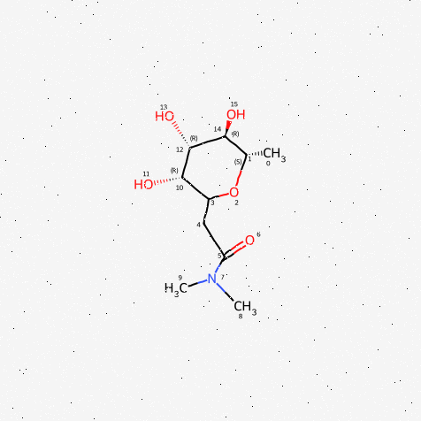 C[C@@H]1OC(CC(=O)N(C)C)[C@H](O)[C@H](O)[C@H]1O